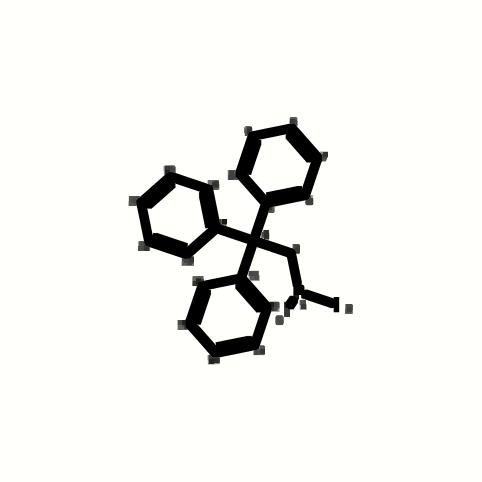 IP(I)CC(c1ccccc1)(c1ccccc1)c1ccccc1